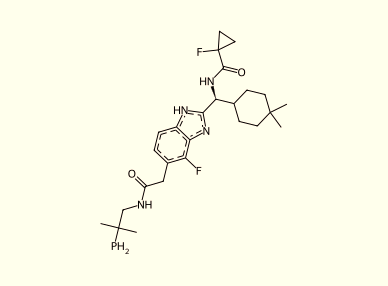 CC(C)(P)CNC(=O)Cc1ccc2[nH]c([C@@H](NC(=O)C3(F)CC3)C3CCC(C)(C)CC3)nc2c1F